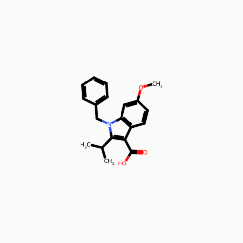 COc1ccc2c(C(=O)O)c(C(C)C)n(Cc3ccccc3)c2c1